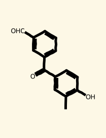 Cc1cc(C(=O)c2cccc(C=O)c2)ccc1O